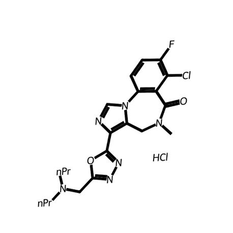 CCCN(CCC)Cc1nnc(-c2ncn3c2CN(C)C(=O)c2c-3ccc(F)c2Cl)o1.Cl